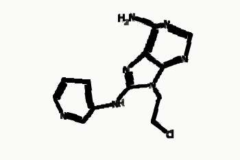 Nc1ncnc2c1nc(Nc1cccnc1)n2CCCl